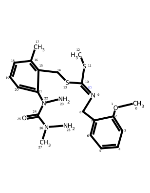 COc1ccccc1C/N=C(/SC)SCc1c(C)cccc1N(N)C(=O)N(C)N